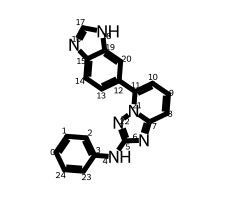 c1ccc(Nc2nc3cccc(-c4ccc5nc[nH]c5c4)n3n2)cc1